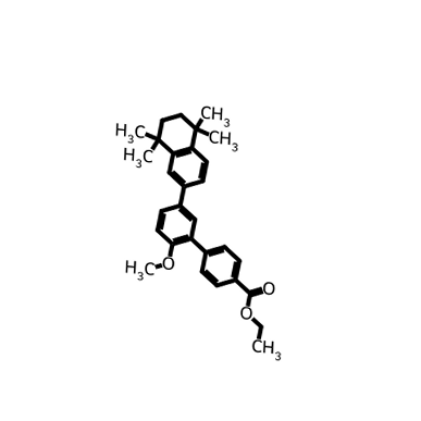 CCOC(=O)c1ccc(-c2cc(-c3ccc4c(c3)C(C)(C)CCC4(C)C)ccc2OC)cc1